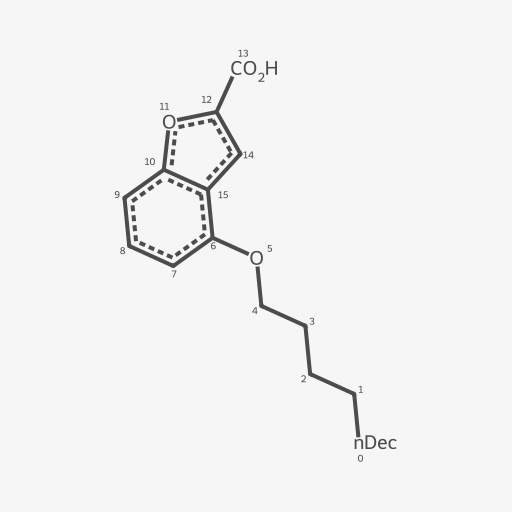 CCCCCCCCCCCCCCOc1cccc2oc(C(=O)O)cc12